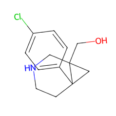 OCC12CNCCC1(c1ccc(Cl)cc1)C2